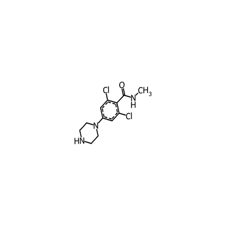 CNC(=O)c1c(Cl)cc(N2CCNCC2)cc1Cl